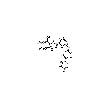 COC(=O)C(=CNc1cccc(CN2CCN(c3ccc(F)cc3)CC2)c1)C(=O)OC